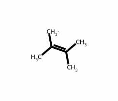 [CH2]C(C)=C(C)C